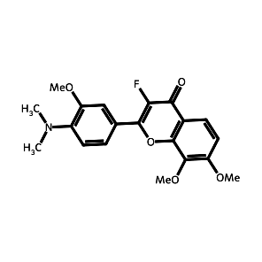 COc1cc(-c2oc3c(OC)c(OC)ccc3c(=O)c2F)ccc1N(C)C